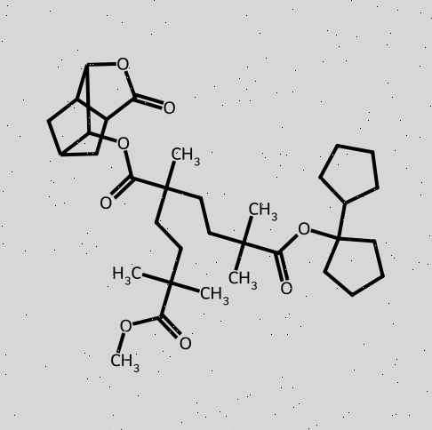 COC(=O)C(C)(C)CCC(C)(CCC(C)(C)C(=O)OC1(C2CCCC2)CCCC1)C(=O)OC1C2CC3C(=O)OC1C3C2